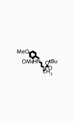 COc1ccc(CNCCN(C)C(=O)OC(C)(C)C)c(OC)c1